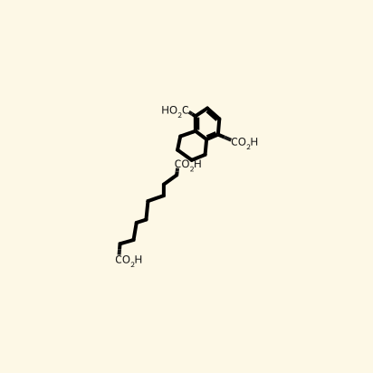 O=C(O)CCCCCCCCC(=O)O.O=C(O)c1ccc(C(=O)O)c2c1CCCC2